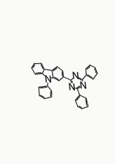 c1ccc(-c2nc(-c3ccccc3)nc(-c3ccc4c5ccccc5n(-c5ccccc5)c4c3)n2)cc1